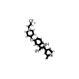 Cc1cc(-c2[nH]c3ccc(OC4CCN(CCC(F)(F)F)CC4)cc3c2C(C)C)ccn1